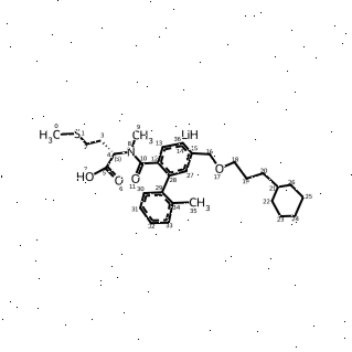 CSCC[C@@H](C(=O)O)N(C)C(=O)c1ccc(COCCCC2CCCCC2)cc1-c1ccccc1C.[LiH]